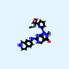 CCn1c(=O)c2cnc(Nc3ccc4c(c3)CNCC4)nc2n1-c1cccc(C2(OC)COC2)n1